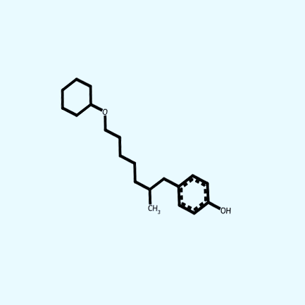 CC(CCCCCOC1CCCCC1)Cc1ccc(O)cc1